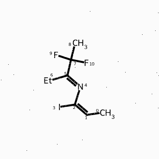 C/C=C(I)\N=C(/CC)C(C)(F)F